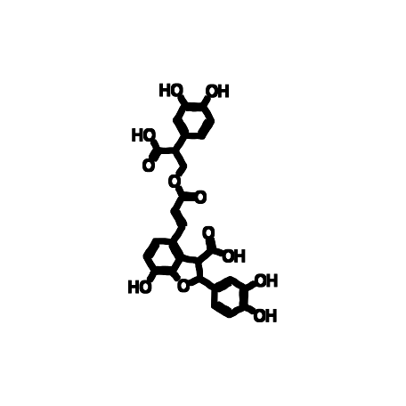 O=C(C=Cc1ccc(O)c2c1C(C(=O)O)C(c1ccc(O)c(O)c1)O2)OCC(C(=O)O)c1ccc(O)c(O)c1